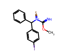 COC(=N)[N+](=S)C(c1ccccc1)c1ccc(I)cc1